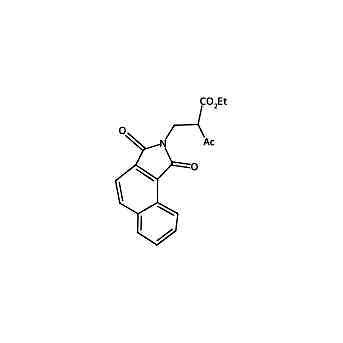 CCOC(=O)C(CN1C(=O)c2ccc3ccccc3c2C1=O)C(C)=O